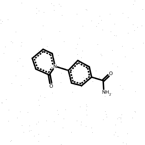 NC(=O)c1[c]cc(-n2ccccc2=O)cc1